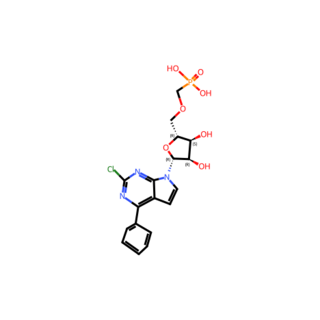 O=P(O)(O)COC[C@H]1O[C@@H](n2ccc3c(-c4ccccc4)nc(Cl)nc32)[C@H](O)[C@@H]1O